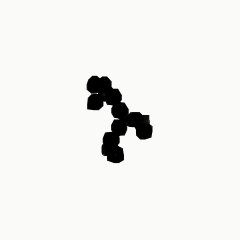 c1ccc(-n2c3cc(-c4ccc(N(c5ccc(-c6ccc7oc8ccccc8c7c6)cc5)c5ccc6sc7ccccc7c6c5)cc4)ccc3c3ccc4ccccc4c32)cc1